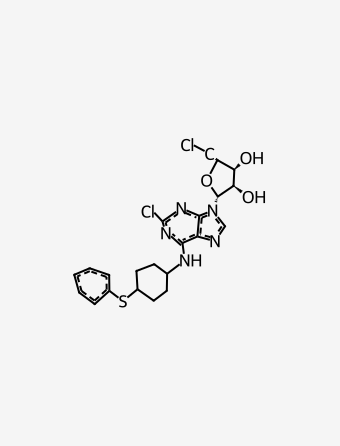 O[C@@H]1[C@H](O)[C@@H](CCl)O[C@H]1n1cnc2c(NC3CCC(Sc4ccccc4)CC3)nc(Cl)nc21